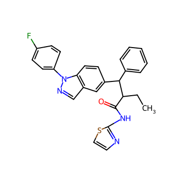 CCC(C(=O)Nc1nccs1)C(c1ccccc1)c1ccc2c(cnn2-c2ccc(F)cc2)c1